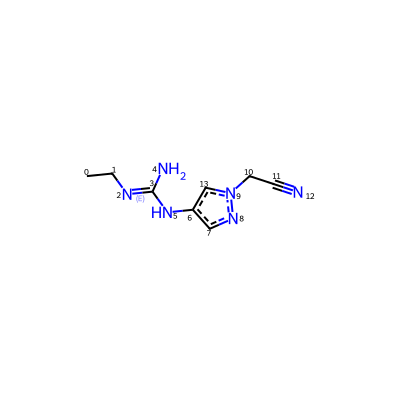 CC/N=C(\N)Nc1cnn(CC#N)c1